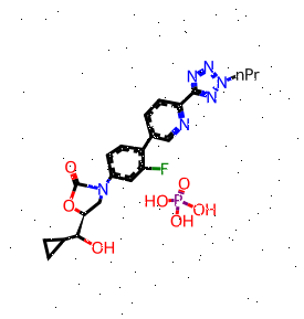 CCCn1nnc(-c2ccc(-c3ccc(N4C[C@@H](C(O)C5CC5)OC4=O)cc3F)cn2)n1.O=P(O)(O)O